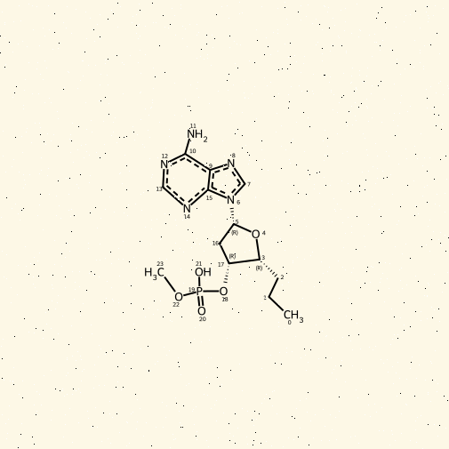 CCC[C@H]1O[C@@H](n2cnc3c(N)ncnc32)C[C@H]1OP(=O)(O)OC